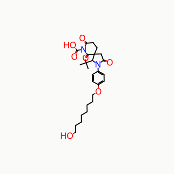 CC(C)(C)C1N(c2ccc(OCCCCCCCCO)cc2)C(=O)CC12CCC(=O)N(C(=O)O)C2=O